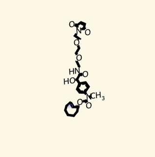 CN(C(=O)O[C@H]1/C=C/CCCCC1)c1ccc(C(O)C(=O)NCCOCCOCCN2C(=O)C=CC2=O)cc1